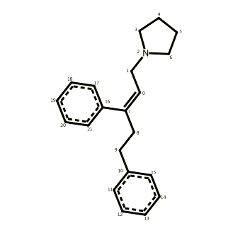 C(CN1CCCC1)=C(CCc1ccccc1)c1ccccc1